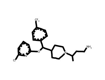 CC(CCN)N1CCC(C(Oc2cccc(Cl)n2)c2ccc(C(F)(F)F)cc2)CC1